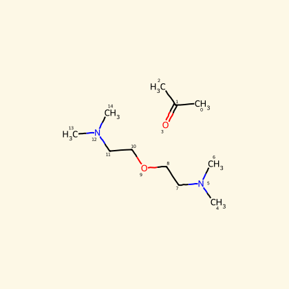 CC(C)=O.CN(C)CCOCCN(C)C